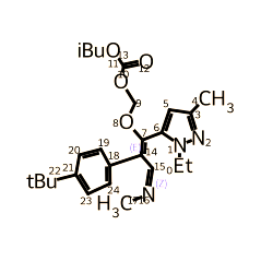 CCn1nc(C)cc1/C(OCOC(=O)OCC(C)C)=C(\C=N/C)c1ccc(C(C)(C)C)cc1